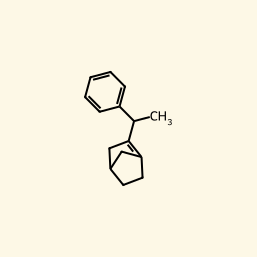 CC(C1=C2CCC(C2)C1)c1ccccc1